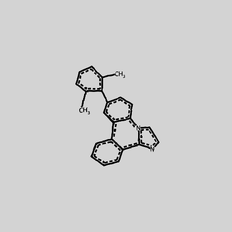 Cc1cccc(C)c1-c1ccc2c(c1)c1ccccc1c1nccn21